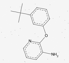 CC(C)(C)c1cccc(Oc2ncccc2N)c1